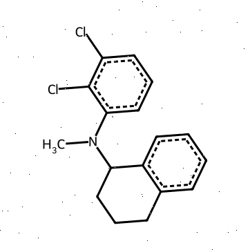 CN(c1cccc(Cl)c1Cl)C1CCCc2ccccc21